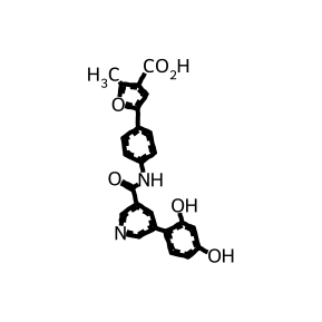 Cc1oc(-c2ccc(NC(=O)c3cncc(-c4ccc(O)cc4O)c3)cc2)cc1C(=O)O